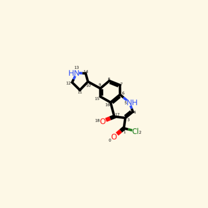 O=C(Cl)c1c[nH]c2ccc(C3CCNC3)cc2c1=O